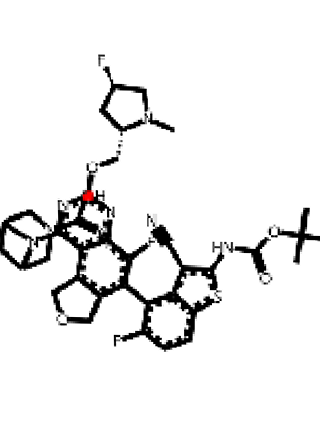 CN1C[C@H](F)C[C@H]1COc1nc(N2C3CC2CN(C(=O)O)C3)c2c3c(c(-c4c(F)ccc5sc(NC(=O)OC(C)(C)C)c(C#N)c45)c(F)c2n1)COC3